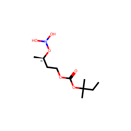 CCC(C)(C)OC(=O)OCC[C@@H](C)ON(O)O